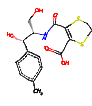 Cc1ccc([C@H](O)[C@H](CO)NC(=O)C2=C(C(=O)O)SCCS2)cc1